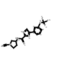 N#CN1CCC(NC(=O)c2ncc(-c3cccc(OC(F)(F)F)c3)o2)C1